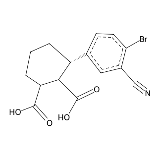 N#Cc1cc([C@H]2CCCC(C(=O)O)C2C(=O)O)ccc1Br